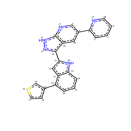 c1ccc(-c2cnc3[nH]nc(-c4cc5c(-c6ccsc6)cccc5[nH]4)c3c2)nc1